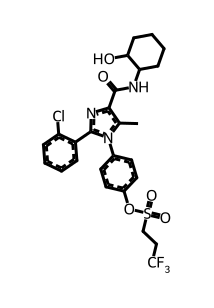 Cc1c(C(=O)NC2CCCCC2O)nc(-c2ccccc2Cl)n1-c1ccc(OS(=O)(=O)CCC(F)(F)F)cc1